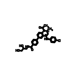 CC(=O)N1c2ccc(-c3ccc(C(=O)NCC(O)CO)cc3)cc2[C@H](Nc2ccc(Cl)cc2)C[C@@H]1C